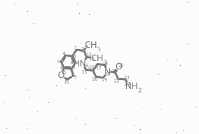 CC(Cc1ccc2c(c1)CCO2)C(C)NCC1CCN(C(=O)CCN)CC1